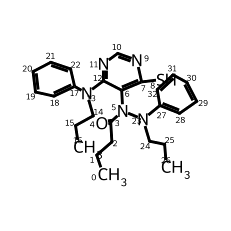 CCCC(=O)N(c1c(S)ncnc1N(CCC)c1ccccc1)N(CCC)c1ccccc1